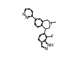 CN1Cc2cc(-c3cccnn3)ccc2C(c2ccc3cn[nH]c3c2F)C1